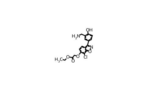 CCOC(=O)COc1ccc2c(-c3ccc(O)c(CN)c3)noc2c1Cl